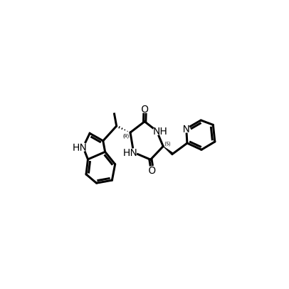 CC(c1c[nH]c2ccccc12)[C@H]1NC(=O)[C@H](Cc2ccccn2)NC1=O